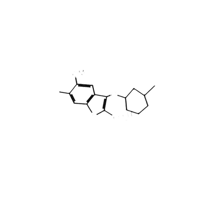 COc1cc2c(OC3CCCC(C)C3)c(C(=O)O)sc2cc1C